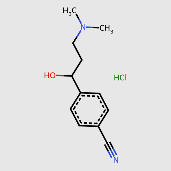 CN(C)CCC(O)c1ccc(C#N)cc1.Cl